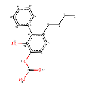 CCCCc1ccc(OC(=O)O)c(O)c1-c1ccccc1